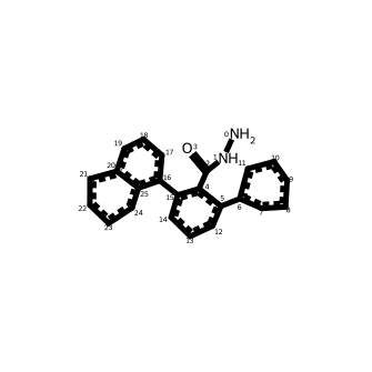 NNC(=O)c1c(-c2ccccc2)cccc1-c1cccc2ccccc12